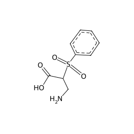 NCC(C(=O)O)S(=O)(=O)c1ccccc1